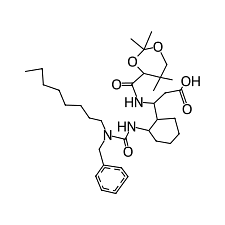 CCCCCCCCN(Cc1ccccc1)C(=O)NC1CCCCC1C(CC(=O)O)NC(=O)C1OC(C)(C)OCC1(C)C